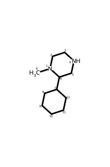 CN1CCNCC1C1CCCCC1